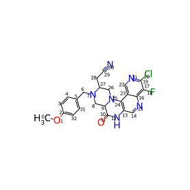 COc1ccc(CN2CC3C(=O)Nc4cnc5c(F)c(Cl)ncc5c4N3CC2CC#N)cc1